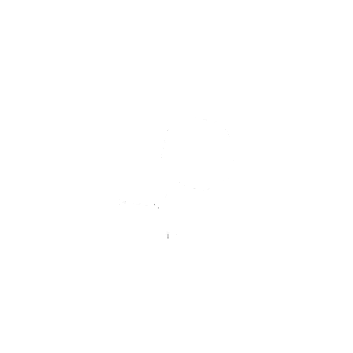 CC(C)N(C(C)C)C1CCCCCCC1